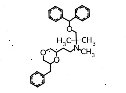 CN(CCC1COCC(Cc2ccccc2)O1)C(C)(C)COC(c1ccccc1)c1ccccc1